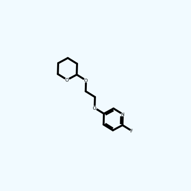 Fc1ccc(OCCOC2CCCCO2)cn1